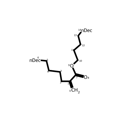 C=C(CCCCCCCCCCCCCC)C(=O)OCCCCCCCCCCCCCC